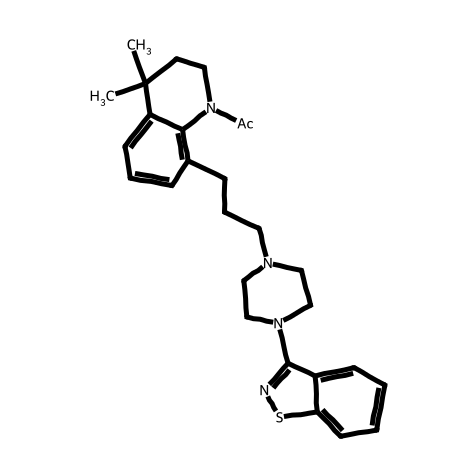 CC(=O)N1CCC(C)(C)c2cccc(CCCN3CCN(c4nsc5ccccc45)CC3)c21